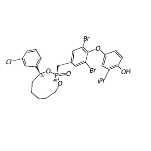 CC(C)c1cc(Oc2c(Br)cc(C[P@@]3(=O)OCCCCC[C@@H](c4cccc(Cl)c4)O3)cc2Br)ccc1O